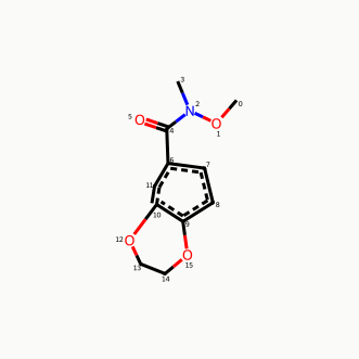 CON(C)C(=O)c1ccc2c(c1)OCCO2